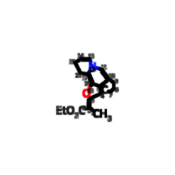 CCOC(=O)C(C)=C1CC23CCCCC2=CN2C=CCCC2=C3O1